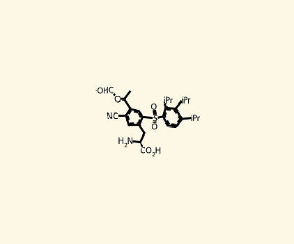 CC(C)c1ccc(S(=O)(=O)c2cc(C(C)O[C]=O)c(C#N)cc2C[C@H](N)C(=O)O)c(C(C)C)c1C(C)C